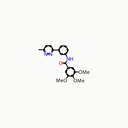 COc1cc(C(=O)Nc2cccc(-c3ccc(C)nn3)c2)cc(OC)c1OC